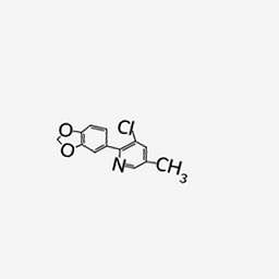 Cc1cnc(-c2ccc3c(c2)OCO3)c(Cl)c1